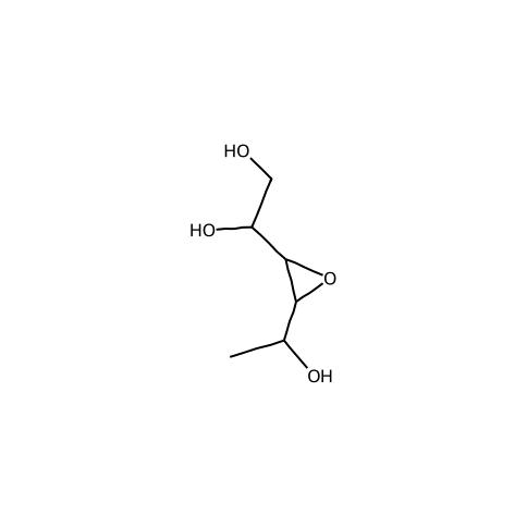 CC(O)C1OC1C(O)CO